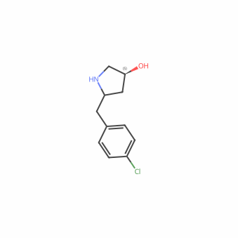 O[C@@H]1CNC(Cc2ccc(Cl)cc2)C1